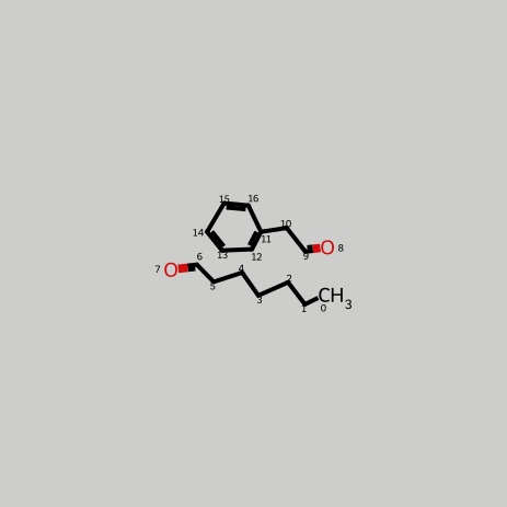 CCCCCCC=O.O=CCc1ccccc1